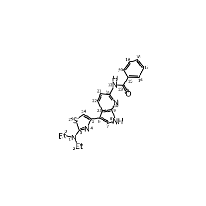 CCN(CC)c1nc(-c2c[nH]c3nc(NC(=O)c4ccccc4)ccc23)cs1